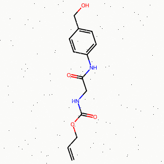 C=CCOC(=O)NCC(=O)Nc1ccc(CO)cc1